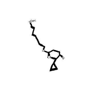 CCCCCCCCCCCCCCCCOC1C=CC(=O)C(C2CC2)O1